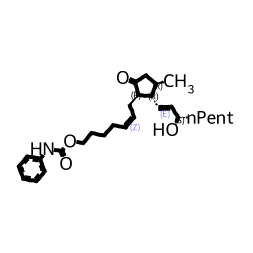 CCCCC[C@H](O)/C=C/[C@H]1[C@H](C)CC(=O)[C@@H]1C/C=C\CCCCOC(=O)Nc1ccccc1